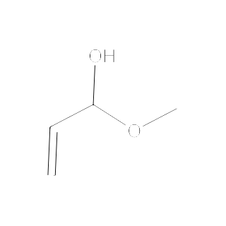 [CH]=CC(O)OC